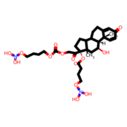 C[C@]12C=CC(=O)C=C1CCC1C3CC[C@](OC(=O)CCCON(O)O)(C(=O)COC(=O)OCCCCON(O)O)[C@@]3(C)C[C@H](O)[C@@H]12